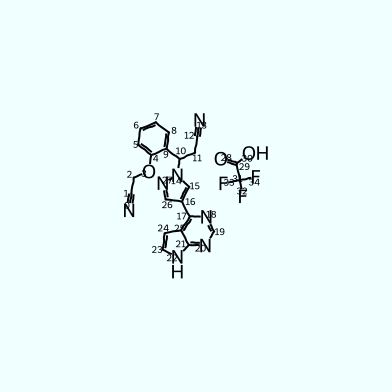 N#CCOc1ccccc1C(CC#N)n1cc(-c2ncnc3[nH]ccc23)cn1.O=C(O)C(F)(F)F